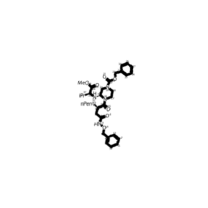 CCCCC[C@H](CC(=O)NOCc1ccccc1)C(=O)N1CCN(C(=O)OCc2ccccc2)C[C@H]1N[C@H](C(=O)OC)C(C)C